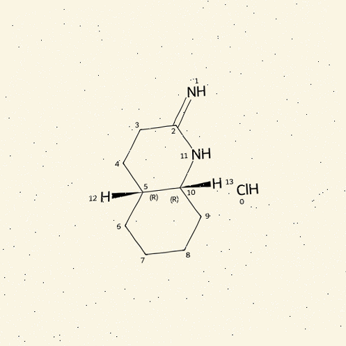 Cl.N=C1CC[C@H]2CCCC[C@H]2N1